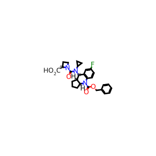 O=C(O)[C@H]1CCN1C(=O)N(C1CC1)[C@H]1c2cc(F)ccc2N(C(=O)OCc2ccccc2)[C@H]2CCC[C@H]21